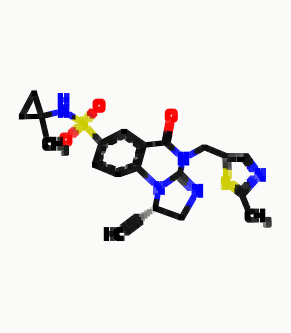 C#C[C@H]1CN=C2N(Cc3cnc(C)s3)C(=O)c3cc(S(=O)(=O)NC4(C)CC4)ccc3N21